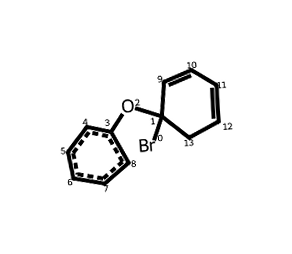 BrC1(Oc2ccccc2)C=CC=CC1